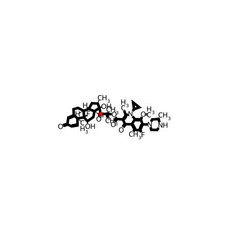 COc1c(N2CCNC(C)C2)c(F)c(C)c2c(=O)c(C(=O)OC(C)(C)C(=O)[C@@]3(O)[C@@H](C)C[C@H]4[C@@H]5CCC6=CC(=O)C=C[C@]6(C)[C@@]5(F)[C@@H](O)C[C@@]43C)c(C)n(C3CC3)c12